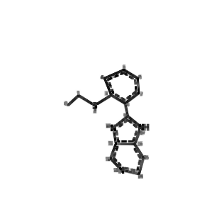 CCSc1ccccc1-c1nc2cnccc2[nH]1